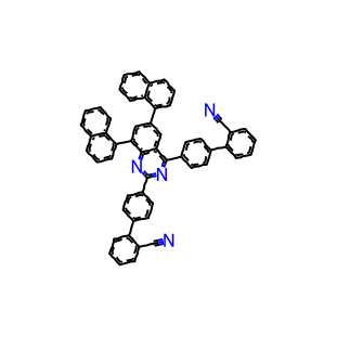 N#Cc1ccccc1-c1ccc(-c2nc(-c3ccc(-c4ccccc4C#N)cc3)c3cc(-c4cccc5ccccc45)cc(-c4cccc5ccccc45)c3n2)cc1